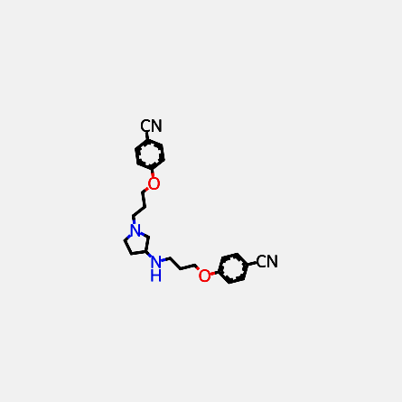 N#Cc1ccc(OCCCNC2CCN(CCCOc3ccc(C#N)cc3)C2)cc1